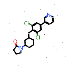 O=C1CCCN1C1CCCC(Cc2c(Cl)cc(-c3cccnc3)cc2Cl)C1